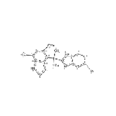 CNC(C)(c1nc2cc(C#N)cnc2[nH]1)c1c(OC)cc(C)c2[nH]ccc12